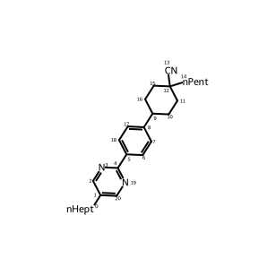 CCCCCCCc1cnc(-c2ccc(C3CCC(C#N)(CCCCC)CC3)cc2)nc1